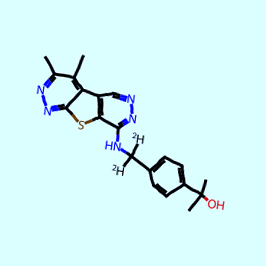 [2H]C([2H])(Nc1nncc2c1sc1nnc(C)c(C)c12)c1ccc(C(C)(C)O)cc1